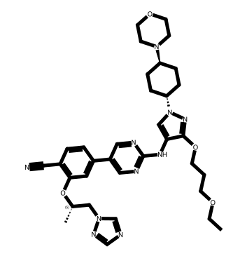 CCOCCCOc1nn([C@H]2CC[C@H](N3CCOCC3)CC2)cc1Nc1ncc(-c2ccc(C#N)c(O[C@@H](C)Cn3cncn3)c2)cn1